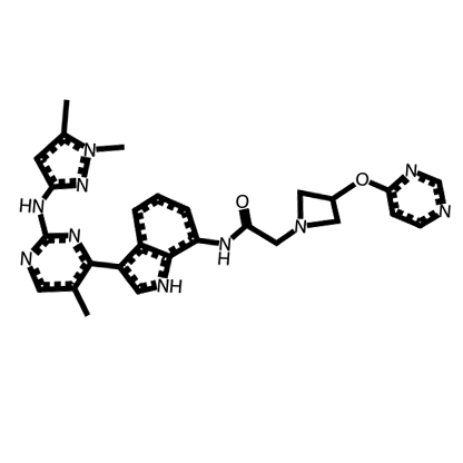 Cc1cnc(Nc2cc(C)n(C)n2)nc1-c1c[nH]c2c(NC(=O)CN3CC(Oc4ccncn4)C3)cccc12